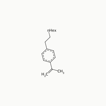 C=C(C)c1ccc(CCCCCCCC)cc1